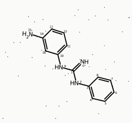 N=C(Nc1ccccc1)Nc1cccc(N)c1